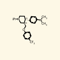 CC(C)N1CC[C@H](c2ccc(N(C)C)cc2)[C@@H](COc2ccc(C(F)(F)F)cc2)C1